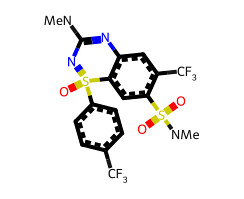 CNC1=Nc2cc(C(F)(F)F)c(S(=O)(=O)NC)cc2S(=O)(c2ccc(C(F)(F)F)cc2)=N1